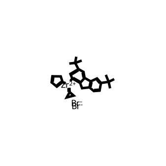 CC(C)(C)c1ccc2c(c1)-c1cc(C(C)(C)C)c[c]([Zr+2]([C]3=CC=CC3)=[C]3CC3)c1C2.[Br-].[Br-]